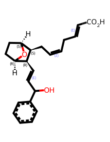 O=C(O)/C=C/C/C=C\C[C@H]1[C@@H](/C=C/C(O)c2ccccc2)[C@H]2CC[C@@H]1O2